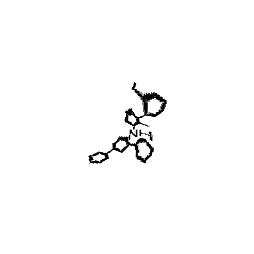 C=Cc1ccccc1-c1cccc(Nc2ccc(-c3ccccc3)cc2-c2ccccc2)c1C